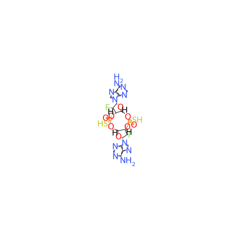 Nc1ncnc2c1ncn2[C@@H]1O[C@@H]2CO[P@](=O)(S)O[C@H]3[C@@H](F)[C@H](n4cnc5c(N)ncnc54)O[C@@H]3COP(=O)(S)O[C@H]2[C@H]1F